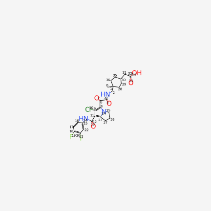 CC1(CNC(=O)C(=O)c2c(Cl)c(C(=O)Nc3ccc(F)c(F)c3)c3n2CCC3)CCC(CC(=O)O)CC1